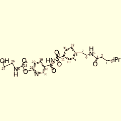 CC(C)CCC(=O)NCCc1ccc(S(=O)(=O)NC(=O)c2ccc(OC(=O)NCCO)nc2)cc1